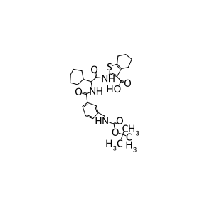 CC(C)(C)OC(=O)NCc1cccc(C(=O)NC(C(=O)Nc2sc3c(c2C(=O)O)CCCC3)C2CCCCC2)c1